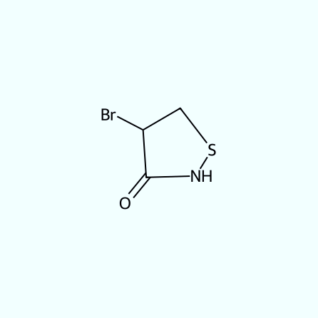 O=C1NSCC1Br